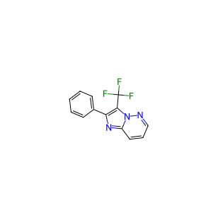 FC(F)(F)c1c(-c2ccccc2)nc2cccnn12